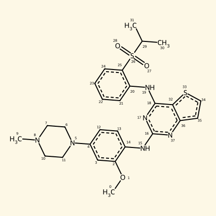 COc1cc(N2CCN(C)CC2)ccc1Nc1nc(Nc2ccccc2S(=O)(=O)C(C)C)c2sccc2n1